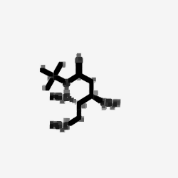 C[Si](C)(C)OC(=O)C[C@@H](C(=O)O)[C@H](CC(=O)O)C(=O)O